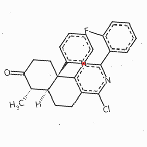 C[C@@H]1C(=O)CC[C@]2(c3ccccc3)c3nc(-c4ccccc4F)nc(Cl)c3CC[C@@H]12